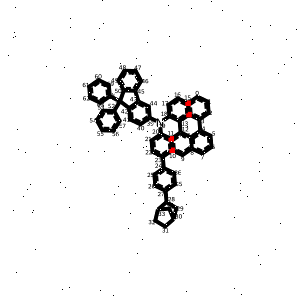 c1ccc(-c2cccc3cccc(-c4ccccc4N(c4ccc(-c5ccc(C6CC7CCC6C7)cc5)cc4)c4ccc5c(c4)-c4ccccc4C5(c4ccccc4)c4ccccc4)c23)cc1